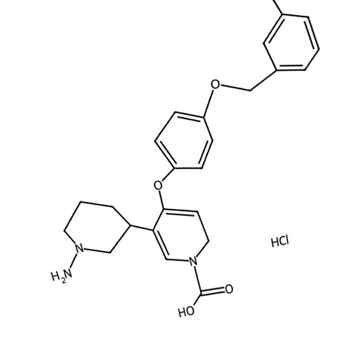 Cl.NN1CCCC(C2=CN(C(=O)O)CC=C2Oc2ccc(OCc3cccc(F)c3)cc2)C1